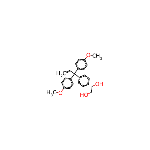 C=CC(c1ccccc1)(c1ccc(OC)cc1)c1ccc(OC)cc1.OCCO